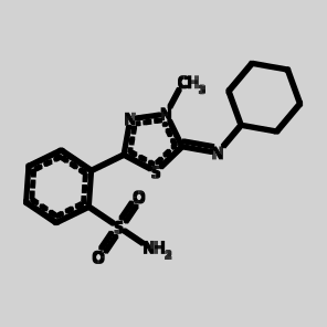 Cn1nc(-c2ccccc2S(N)(=O)=O)s/c1=N/C1CCCCC1